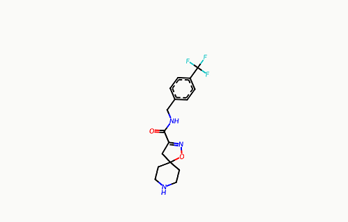 O=C(NCc1ccc(C(F)(F)F)cc1)C1=NOC2(CCNCC2)C1